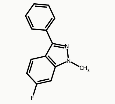 Cn1nc(-c2ccccc2)c2ccc(F)cc21